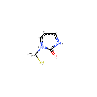 C[C@@H](S)n1cccnc1=O